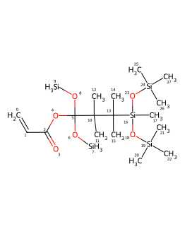 C=CC(=O)OC(O[SiH3])(O[SiH3])C(C)(C)C(C)(C)[Si](C)(O[Si](C)(C)C)O[Si](C)(C)C